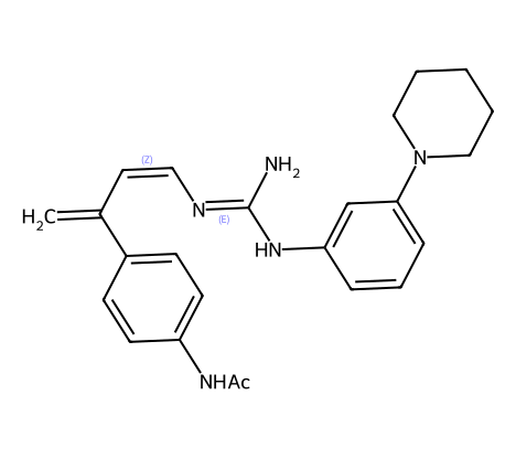 C=C(/C=C\N=C(/N)Nc1cccc(N2CCCCC2)c1)c1ccc(NC(C)=O)cc1